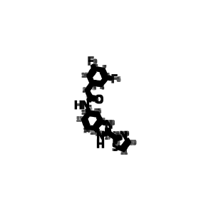 O=C(Cc1cc(F)cc(F)c1)Nc1ccc2[nH]c(-c3nccs3)nc2c1